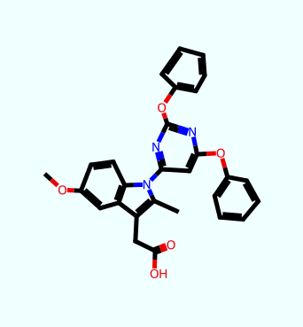 COc1ccc2c(c1)c(CC(=O)O)c(C)n2-c1cc(Oc2ccccc2)nc(Oc2ccccc2)n1